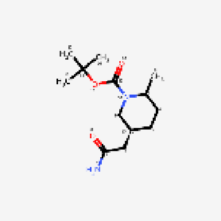 CC1CC[C@@H](CC(N)=O)CN1C(=O)OC(C)(C)C